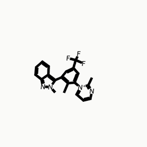 Cc1c(-c2c3ccccc3nn2C)cc(C(F)(F)F)cc1-[n+]1cccnc1C